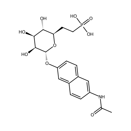 CC(=O)Nc1ccc2cc(O[C@H]3O[C@H](CCP(=O)(O)O)[C@@H](O)[C@H](O)[C@@H]3O)ccc2c1